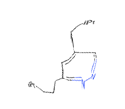 CC(C)Cc1cnnc(CC(C)C)c1